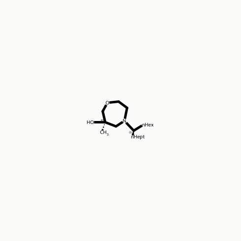 CCCCCCC[C@H](CCCCCC)N1CCOC[C@](C)(O)C1